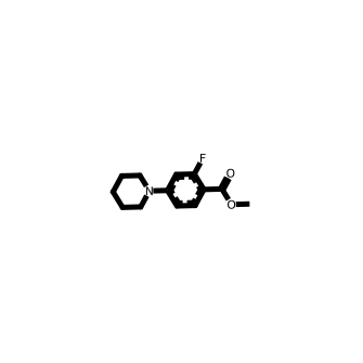 COC(=O)c1ccc(N2CCCCC2)cc1F